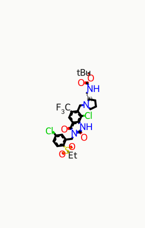 CCS(=O)(=O)c1ccc(Cl)cc1Cn1c(=O)[nH]c2c(Cl)c(CN3CCC[C@H]3CNC(=O)OC(C)(C)C)c(C(F)(F)F)cc2c1=O